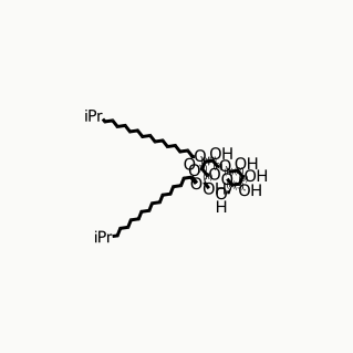 CC(C)CCCCCCCCCCCCCCC(=O)O[C@@H]1[C@@H](O)[C@@H](O[C@H]2O[C@H](CO)[C@@H](O)[C@H](O)[C@H]2O)O[C@H](CO)[C@H]1OC(=O)CCCCCCCCCCCCCCC(C)C